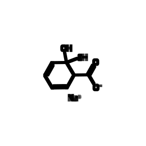 O=C([O-])C1C=CC=CC1(O)S.[Na+]